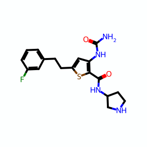 NC(=O)Nc1cc(CCc2cccc(F)c2)sc1C(=O)NC1CCNC1